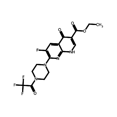 CCOC(=O)c1c[nH]c2nc(N3CCN(C(=O)C(F)(F)F)CC3)c(F)cc2c1=O